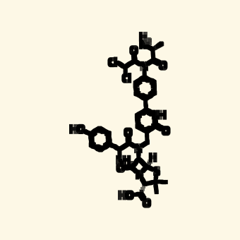 C[C@H](N)C(=O)N(C(=O)C(Cl)Cl)c1ccc(-c2ccc(CN(C(=O)C(N)c3ccc(O)cc3)[C@@H]3C(=O)N4[C@@H]3SC(C)(C)[C@@H]4C(=O)O)c(=O)[nH]2)cc1